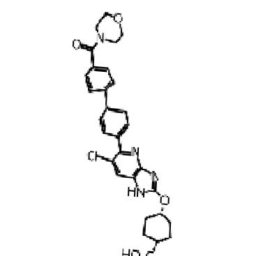 O=C(c1ccc(-c2ccc(-c3nc4nc(O[C@H]5CC[C@H](C(=O)O)CC5)[nH]c4cc3Cl)cc2)cc1)N1CCOCC1